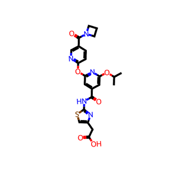 CC(C)Oc1cc(C(=O)Nc2nc(CC(=O)O)cs2)cc(Oc2ccc(C(=O)N3CCC3)cn2)n1